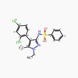 N#CCn1nc(NS(=O)(=O)c2ccccc2)c(-c2ccc(Cl)cc2Cl)c1C(F)(F)F